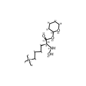 C[N+](C)(C)CCCC[C@H](NO)C(=O)OC1CCCCO1